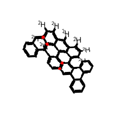 [2H]c1c([2H])c([2H])c2c(-c3ccccc3-c3cccc4ccccc34)c3c(-c4cccc5c6ccccc6c6ccccc6c45)c([2H])c([2H])c([2H])c3c([2H])c2c1[2H]